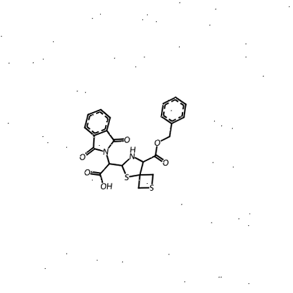 O=C(O)C(C1NC(C(=O)OCc2ccccc2)C2(CSC2)S1)N1C(=O)c2ccccc2C1=O